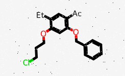 CCc1cc(C(C)=O)c(OCc2ccccc2)cc1OCCCCl